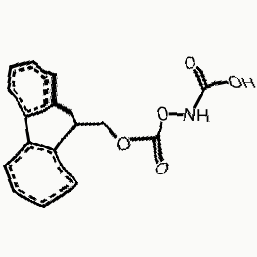 O=C(O)NOC(=O)OCC1c2ccccc2-c2ccccc21